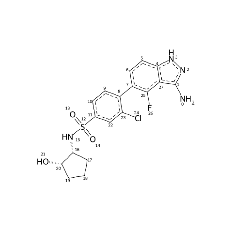 Nc1n[nH]c2ccc(-c3ccc(S(=O)(=O)N[C@@H]4CCC[C@@H]4O)cc3Cl)c(F)c12